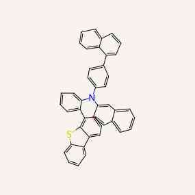 c1ccc(N(c2ccc(-c3cccc4ccccc34)cc2)c2ccc3ccccc3c2)c(-c2cccc3c2sc2ccccc23)c1